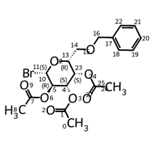 CC(=O)O[C@@H]1[C@@H](OC(C)=O)[C@H](Br)O[C@H](COCc2ccccc2)[C@@H]1OC(C)=O